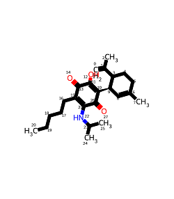 C=C(C)C1CCC(C)=C[C@H]1C1=C(O)C(=O)C(CCCCC)=C(NC(C)C)C1=O